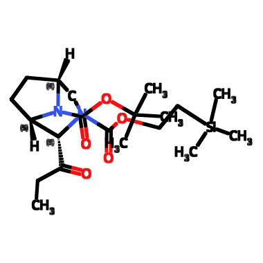 CCC(=O)[C@@H]1[C@@H]2CC[C@H](CN1C(=O)OCC[Si](C)(C)C)N2C(=O)OC(C)(C)C